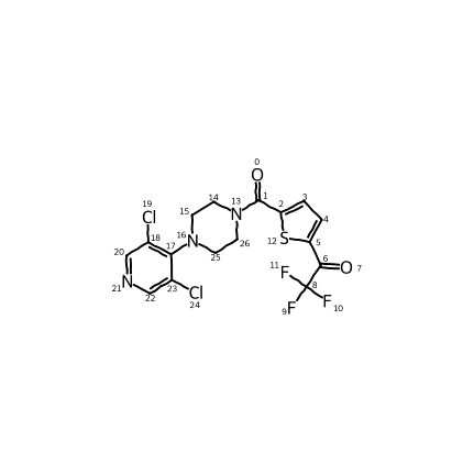 O=C(c1ccc(C(=O)C(F)(F)F)s1)N1CCN(c2c(Cl)cncc2Cl)CC1